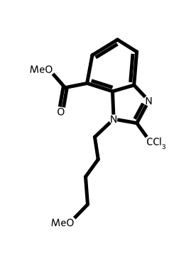 COCCCCn1c(C(Cl)(Cl)Cl)nc2cccc(C(=O)OC)c21